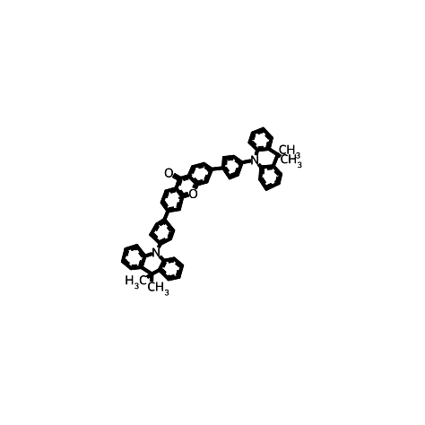 CC1(C)c2ccccc2N(c2ccc(-c3ccc4c(=O)c5ccc(-c6ccc(N7c8ccccc8C(C)(C)c8ccccc87)cc6)cc5oc4c3)cc2)c2ccccc21